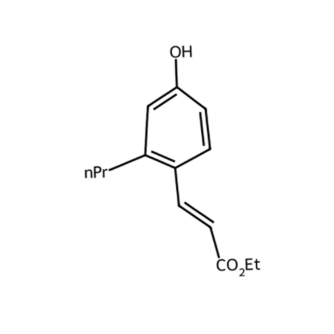 CCCc1cc(O)ccc1C=CC(=O)OCC